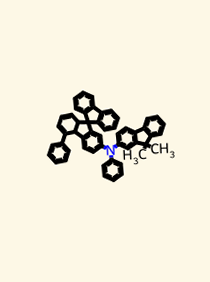 CC1(C)c2ccccc2-c2ccc(N(c3ccccc3)c3ccc4c(c3)C3(c5ccccc5-c5ccccc53)C3C=CC=C(c5ccccc5)C43)cc21